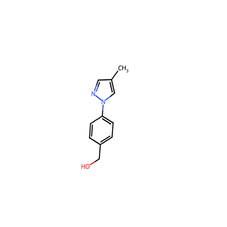 Cc1cnn(-c2ccc(CO)cc2)c1